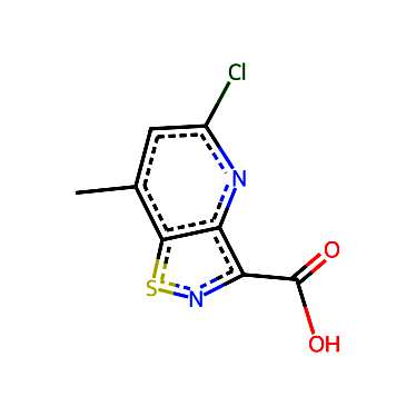 Cc1cc(Cl)nc2c(C(=O)O)nsc12